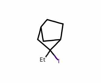 CCC1(I)CC2CCC1C2